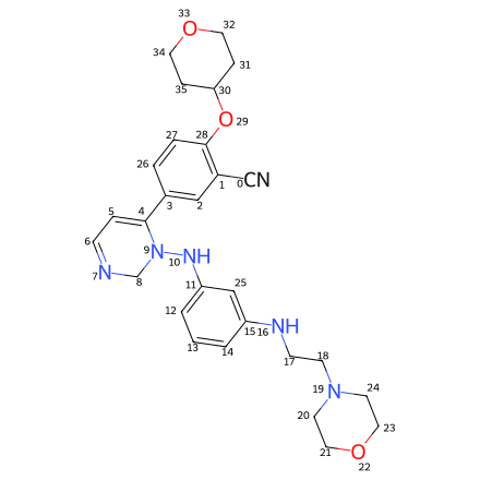 N#Cc1cc(C2=CC=NCN2Nc2cccc(NCCN3CCOCC3)c2)ccc1OC1CCOCC1